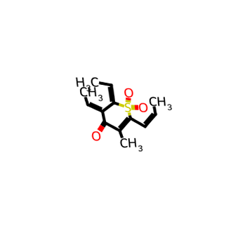 C/C=C\C1=C(C)C(=O)C(=C/C)/C(=C\C)S1(=O)=O